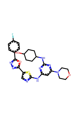 OC1CCC(Nc2nc(Nc3ncc(-c4nnc(-c5ccc(F)cc5)o4)s3)cc(N3CCOCC3)n2)CC1